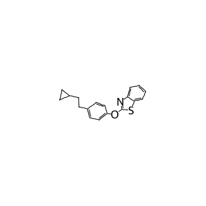 c1ccc2sc(Oc3ccc(CCC4CC4)cc3)nc2c1